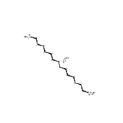 O=C(O)CCCCCCCCCCCCCCC(=O)O.[KH].[KH]